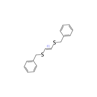 C(=C\SCc1ccccc1)/SCc1ccccc1